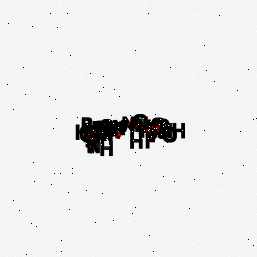 CCOc1cc(N2CCC(NCCNC(=O)C3CN(c4cc(F)cc5c4n(C)c(=O)n5C4CCC(=O)NC4=O)C3)CC2)c(CC)cc1Nc1ncc(Br)c(Nc2ccc3nc(CC)ccc3c2P(C)(C)=O)n1